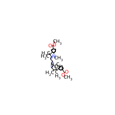 C=C(/C=C/C=C/C=C1\N(C)c2ccc(C(=O)OC)cc2C1(C)C)C(C)(C)c1cc(C(=O)OC)ccc1C